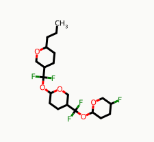 CCCC1CCC(C(F)(F)OC2CCC(C(F)(F)OC3CCC(F)CO3)CO2)CO1